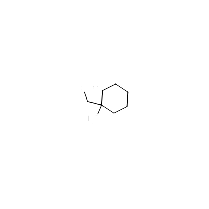 CC1(CC=O)CCCCC1